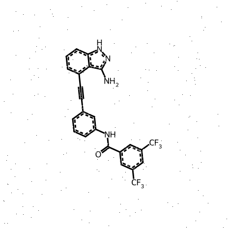 Nc1n[nH]c2cccc(C#Cc3cccc(NC(=O)c4cc(C(F)(F)F)cc(C(F)(F)F)c4)c3)c12